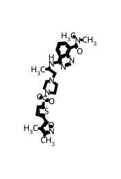 Cc1noc(-c2ccc(S(=O)(=O)N3CCN(CC(C)Nc4ncnc5c(C(=O)N(C)C)cccc45)CC3)s2)c1C